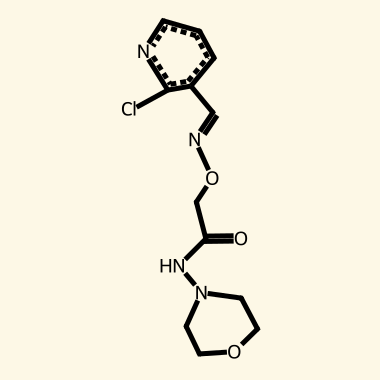 O=C(CON=Cc1cccnc1Cl)NN1CCOCC1